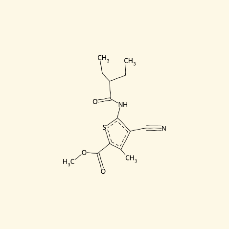 CCC(CC)C(=O)Nc1sc(C(=O)OC)c(C)c1C#N